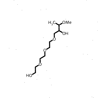 COC(C)C(O)COCCOCCOCCO